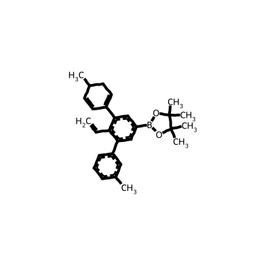 C=Cc1c(C2=CCC(C)C=C2)cc(B2OC(C)(C)C(C)(C)O2)cc1-c1cccc(C)c1